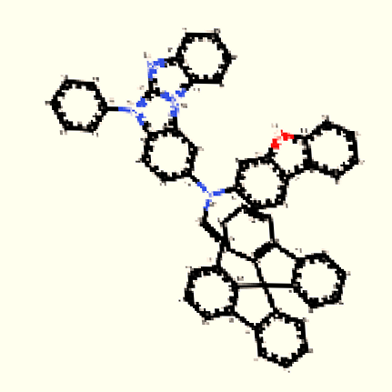 C1=CC2=C(CC1)C1(c3ccccc32)c2ccccc2-c2cccc(C=CN(c3ccc4c(c3)oc3ccccc34)c3ccc4c(c3)n3c5ccccc5nc3n4-c3ccccc3)c21